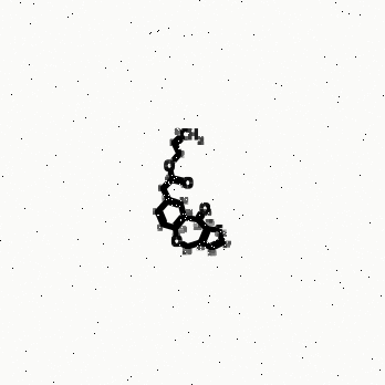 C=CCOC(=O)Cc1ccc2c(c1)C(=O)c1sccc1CO2